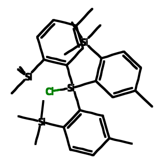 Cc1ccc([Si](C)(C)C)c([Si](Cl)(c2cc(C)ccc2[Si](C)(C)C)c2cc(C)ccc2[Si](C)(C)C)c1